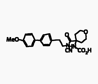 COc1ccc(-c2ccc(CCN(C#N)C(=O)C3(NC(=O)O)CCOCC3)cc2)cc1